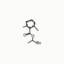 CCC(C)C(C)OC(=O)c1c(C)cccc1C